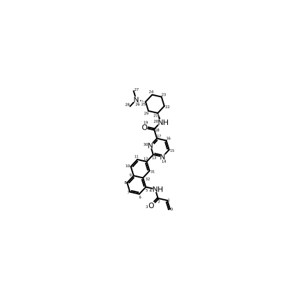 C=CC(=O)Nc1cccc2ccc(-c3nccc(C(=O)N[C@@H]4CCC[C@@H](N(C)C)C4)n3)cc12